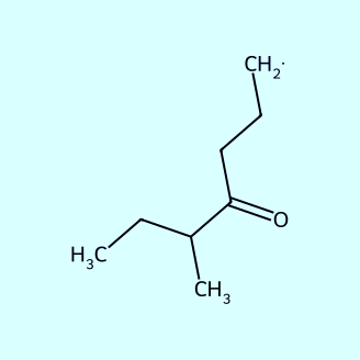 [CH2]CCC(=O)C(C)CC